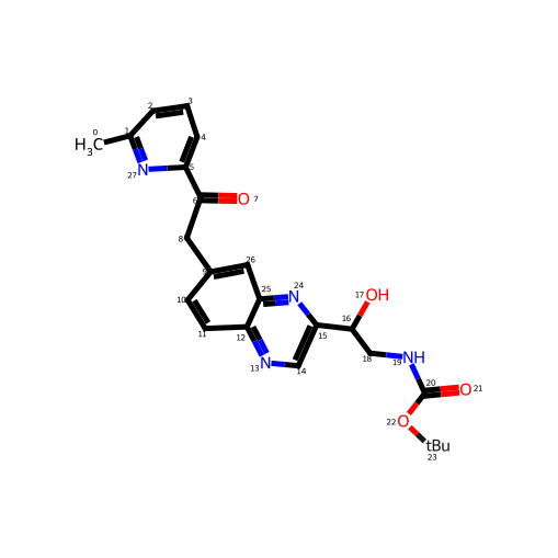 Cc1cccc(C(=O)Cc2ccc3ncc(C(O)CNC(=O)OC(C)(C)C)nc3c2)n1